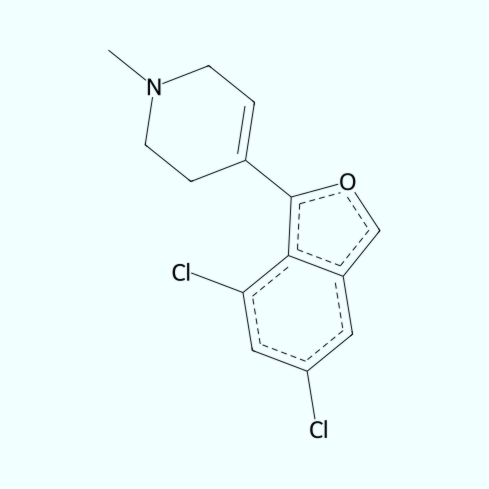 CN1CC=C(c2occ3cc(Cl)cc(Cl)c23)CC1